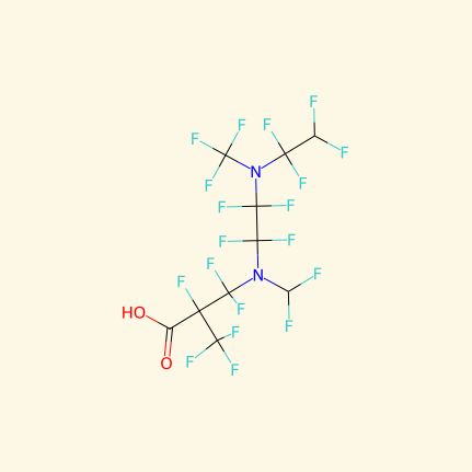 O=C(O)C(F)(C(F)(F)F)C(F)(F)N(C(F)F)C(F)(F)C(F)(F)N(C(F)(F)F)C(F)(F)C(F)F